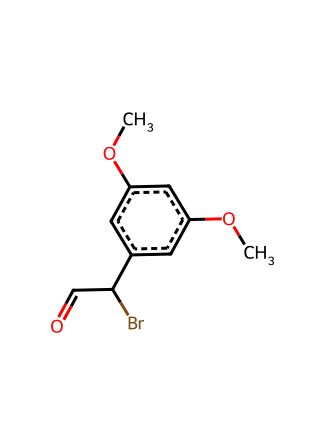 COc1cc(OC)cc(C(Br)C=O)c1